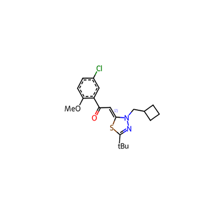 COc1ccc(Cl)cc1C(=O)/C=C1\SC(C(C)(C)C)=NN1CC1CCC1